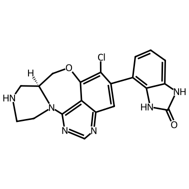 O=c1[nH]c2cccc(-c3cc4ncnc5c4c(c3Cl)OC[C@@H]3CNCCN53)c2[nH]1